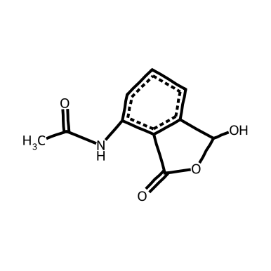 CC(=O)Nc1cccc2c1C(=O)OC2O